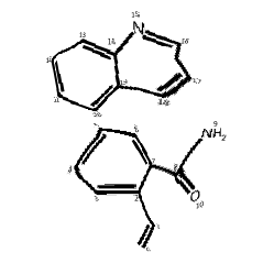 C=Cc1ccccc1C(N)=O.c1ccc2ncccc2c1